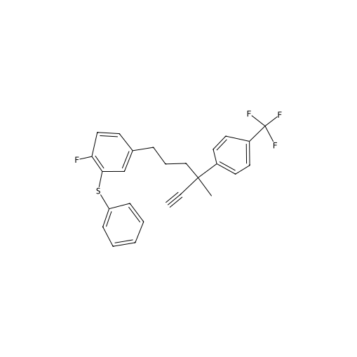 C#CC(C)(CCCc1ccc(F)c(Sc2ccccc2)c1)c1ccc(C(F)(F)F)cc1